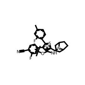 Cc1ccc(-c2sc(CN3C4CCC3CC(NC(=O)OC(C)(C)C)C4)cc2-c2ccc(C#N)c(F)c2)c(F)c1